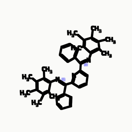 Cc1c(C)c(C)c(/N=C(\c2ccccc2)c2cccc(/C(=N/c3c(C)c(C)c(C)c(C)c3C)c3ccccc3)n2)c(C)c1C